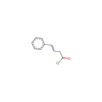 O=C(Cl)C/C=C/c1ccccc1